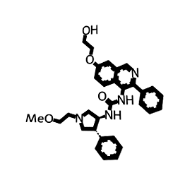 COCCN1C[C@@H](NC(=O)Nc2c(-c3ccccc3)ncc3cc(OCCO)ccc23)[C@H](c2ccccc2)C1